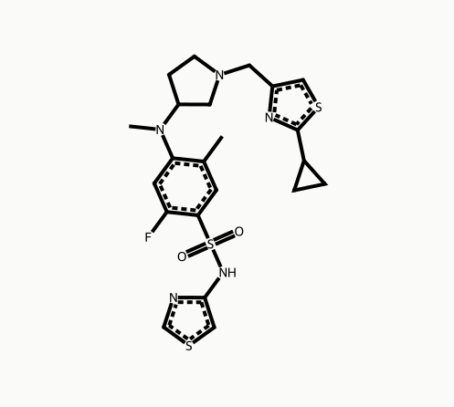 Cc1cc(S(=O)(=O)Nc2cscn2)c(F)cc1N(C)C1CCN(Cc2csc(C3CC3)n2)C1